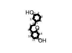 Oc1cccc(C2C=Cc3ccc(O)cc3O2)c1